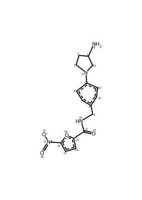 NC1CCN(c2ccc(CNC(=O)c3ccc([N+](=O)[O-])o3)cc2)C1